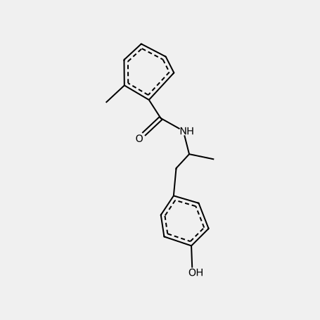 Cc1ccccc1C(=O)NC(C)Cc1ccc(O)cc1